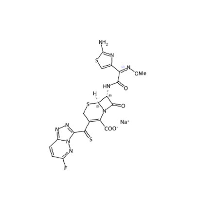 CO/N=C(\C(=O)N[C@@H]1C(=O)N2C(C(=O)[O-])=C(C(=S)c3nnc4ccc(F)nn34)CS[C@@H]12)c1csc(N)n1.[Na+]